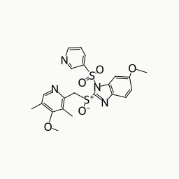 COc1ccc2nc([S+]([O-])Cc3ncc(C)c(OC)c3C)n(S(=O)(=O)c3cccnc3)c2c1